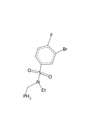 CCN(CP)S(=O)(=O)c1ccc(F)c(Br)c1